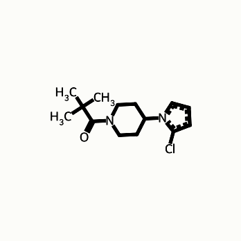 CC(C)(C)C(=O)N1CCC(n2cccc2Cl)CC1